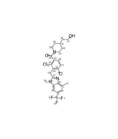 Cc1cc(C(F)(F)F)cc2c1nc(Cc1c(Cl)ccc(C(=O)N3CCC(CCO)CC3)c1Cl)n2C